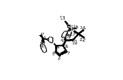 CC(=O)OC1CC=CC1C(CC(C)(C)C)O[SiH](C)C